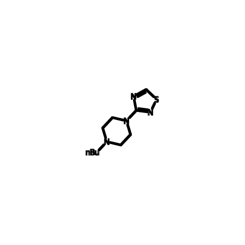 CCCCN1CCN(c2ncsn2)CC1